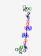 CN1Cc2c(Cl)cc(Cl)cc2[C@H](c2cccc(-c3cn(CCOCCOCCNC(=O)NCCCCNC(=O)NCCOCCOCCn4cnc(-c5cccc([C@@H]6CN(C)Cc7c(Cl)cc(Cl)cc76)c5)c4)cn3)c2)C1